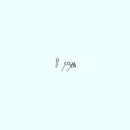 C=O.CC#N.CC(=O)O